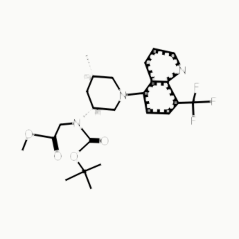 COC(=O)CN(C(=O)OC(C)(C)C)[C@@H]1C[C@H](C)CN(c2ccc(C(F)(F)F)c3ncccc23)C1